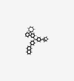 c1ccc(C2(c3ccc(N(c4ccc(-c5ccc6ccccc6c5)cc4)c4ccc(C5CC6CCC5C6)cc4)cc3)CCCCCC2)cc1